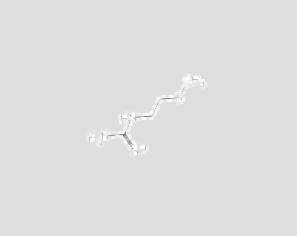 CSCCNC(=N)N